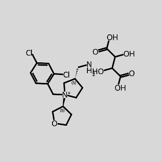 NC[C@@H]1CC[N+](Cc2ccc(Cl)cc2Cl)([C@H]2CCOC2)C1.O=C(O)C(O)C(O)C(=O)O